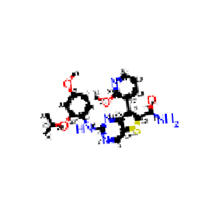 COc1ccc(Nc2ncc3sc(C(N)=O)c(-c4cccnc4OC)c3n2)c(OC(C)C)c1